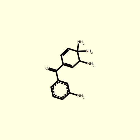 Nc1cccc(C(=O)C2=CC(N)C(N)(N)C=C2)c1